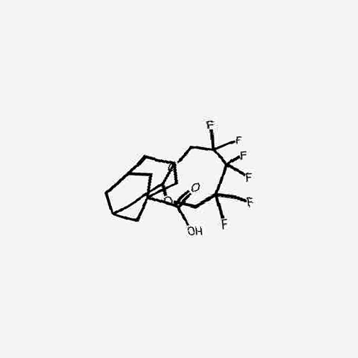 O=C(O)C12CC3CC(C1)C1(OCC(F)(F)C(F)(F)C(F)(F)CO1)C(C3)C2